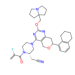 C=C(F)C(=O)N1CCN(c2nc(OCC34CCCN3CCC4)nc3c2COC(c2cccc4c2CCCC4)C3)C[C@@H]1CC#N